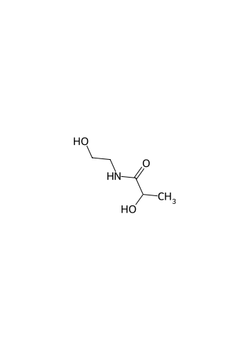 CC(O)C(=O)NCCO